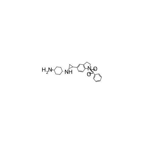 N[C@H]1CC[C@H](NC2CC2c2ccc3c(c2)CCN3S(=O)(=O)c2ccccc2)CC1